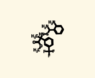 COC(=O)C(C)(NSC(N)c1ccccc1N)c1cccc(C(F)(F)F)c1